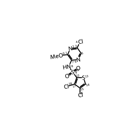 COc1nc(Cl)cnc1NS(=O)(=O)c1scc(Cl)c1Cl